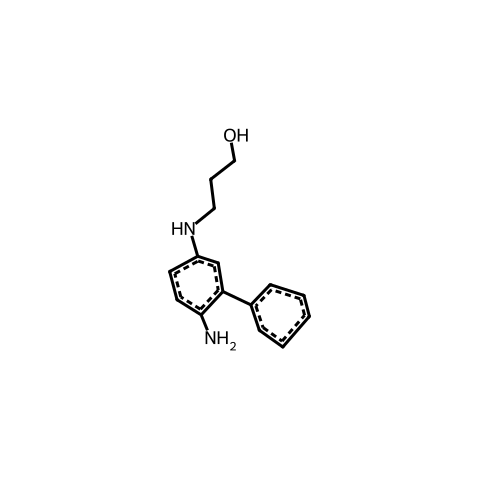 Nc1ccc(NCCCO)cc1-c1ccccc1